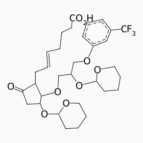 O=C(O)CCC/C=C/CC1C(=O)CC(OC2CCCCO2)C1OCC(COc1cccc(C(F)(F)F)c1)OC1CCCCO1